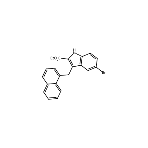 CCOC(=O)c1[nH]c2ccc(Br)cc2c1Cc1cccc2ccccc12